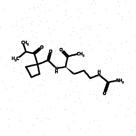 CC(=O)[C@H](CCCNC(N)=O)NC(=O)C1(C(=O)C(C)C)CCC1